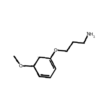 COC1[CH]C(OCCCN)=CC=C1